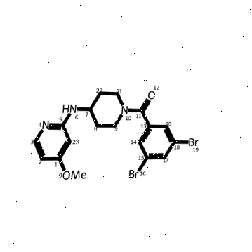 COc1ccnc(NC2CCN(C(=O)c3cc(Br)cc(Br)c3)CC2)c1